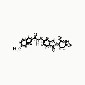 Cc1ccc2cc(C(=O)NCc3ccc4c(c3)CN(C3CCC(=O)NC3=O)C4=O)sc2c1